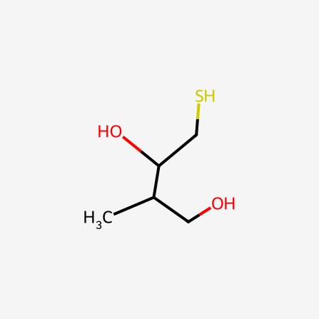 CC(CO)C(O)CS